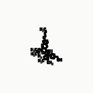 CCCCOc1ccc(C[C@H](NC(=O)OC(C)(C)C)[C@H](O)CN(C[C@@H](C)CC)S(=O)(=O)c2ccc(CO)cc2)cc1